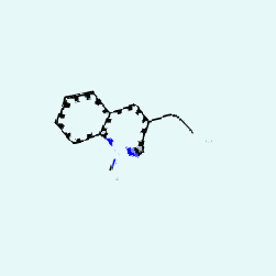 COCc1cc2ccccc2[n+](C(C)(C)C)c1